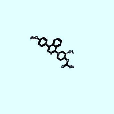 COc1ccc(-c2nnc(N3CCN(OC(=O)C(C)(C)C)[C@@H](C)C3)c3ccccc23)cc1